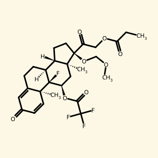 CCC(=O)OCC(=O)[C@@]1(OCOC)CC[C@H]2[C@@H]3CCC4=CC(=O)C=C[C@]4(C)[C@@]3(F)[C@H](OC(=O)C(F)(F)F)C[C@@]21C